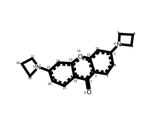 O=c1c2ccc(N3CCC3)cc2oc2cc(N3CCC3)ccc12